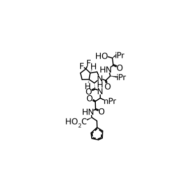 CCCC(NC(=O)[C@@H]1[C@H]2CCC(F)(F)[C@H]2CN1C(=O)[C@@H](NC(=O)[C@@H](O)C(C)C)C(C)C)C(=O)C(=O)N[C@@H](Cc1ccccc1)C(=O)O